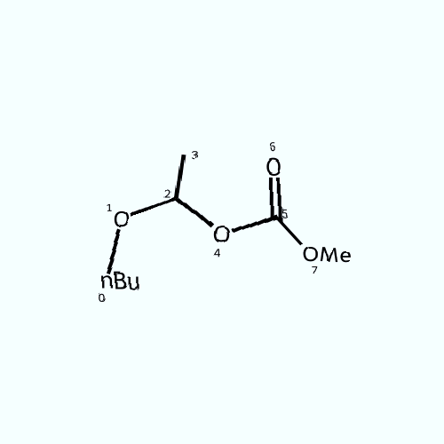 CCCCOC(C)OC(=O)OC